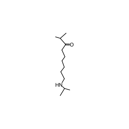 CC(C)NCCCCCCC(=O)C(C)C